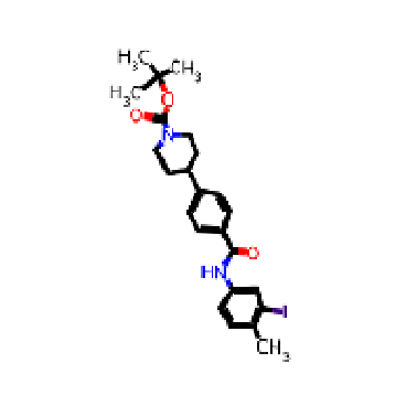 Cc1ccc(NC(=O)c2ccc(C3CCN(C(=O)OC(C)(C)C)CC3)cc2)cc1I